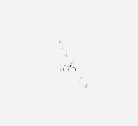 CC(=O)OCCCCOC(=O)CCCCC(C)C.[NaH]